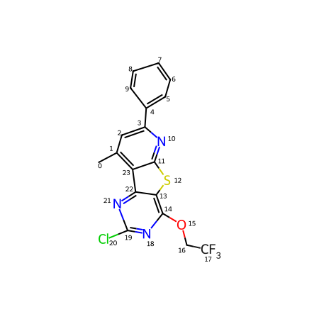 Cc1cc(-c2ccccc2)nc2sc3c(OCC(F)(F)F)nc(Cl)nc3c12